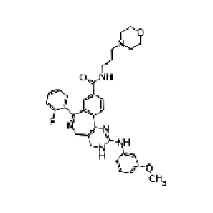 COc1cccc(NC2=NC3=C(CN=C(c4ccccc4F)c4cc(C(=O)NCCCN5CCOCC5)ccc43)CN2)c1